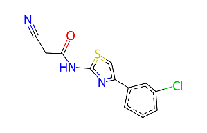 N#CCC(=O)Nc1nc(-c2cccc(Cl)c2)cs1